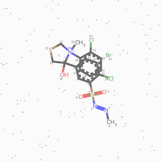 CN=NS(=O)(=O)c1cc(C2(O)CSC[N+]2(C)c2ccccc2Cl)ccc1Cl.[Br-]